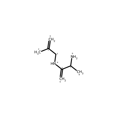 C=C(C)CNC(=C)C(C)N